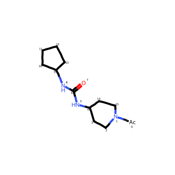 CC(=O)N1CCC(NC(=O)NC2CCCC2)CC1